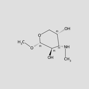 CN[C@@H]1[C@@H](O)[C@H](OC)OC[C@@H]1O